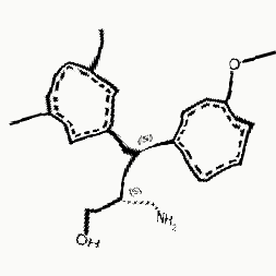 COc1cccc([C@H](c2cc(C)cc(C)c2)[C@H](N)CO)c1